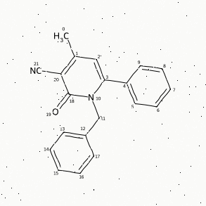 Cc1cc(-c2ccccc2)n(Cc2ccccc2)c(=O)c1C#N